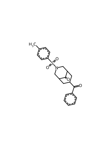 Cc1ccc(S(=O)(=O)N2CC3CC(C(=O)c4ccccc4)CC(C2)C3=O)cc1